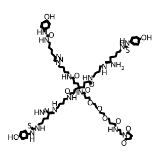 N=N/C(=C\NCCCCNC(=O)CCC(CCC(=O)NCCCCN/C=C(\N)CCCCNC(=S)Nc1ccc(O)cc1)(CCC(=O)NCCCCn1cc(CCCCNC(=O)Nc2ccc(O)cc2)nn1)NC(=O)CCOCCOCCOCCC(=O)NCCN1C(=O)C=CC1=O)CCCCNC(=S)Nc1ccc(O)cc1